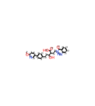 COc1ccc(-c2ccc(CCC(O)C(CCn3nnc4ccccc4c3=O)C(=O)O)cc2)cn1